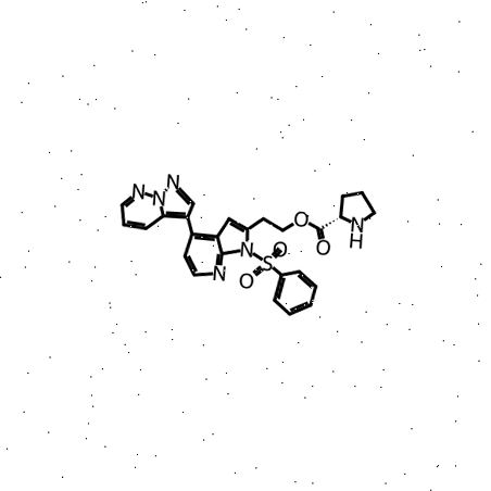 O=C(OCCc1cc2c(-c3cnn4ncccc34)ccnc2n1S(=O)(=O)c1ccccc1)[C@@H]1CCCN1